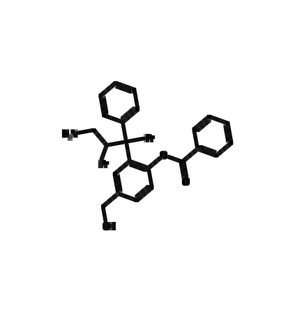 CC(C)C(CN)C(c1ccccc1)(c1cc(CO)ccc1OC(=O)c1ccccc1)C(C)C